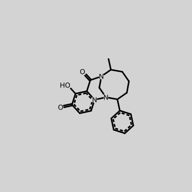 CC1CCCC(c2ccccc2)N2CN1C(=O)c1c(O)c(=O)ccn12